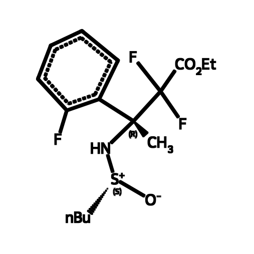 CCCC[S@@+]([O-])N[C@](C)(c1ccccc1F)C(F)(F)C(=O)OCC